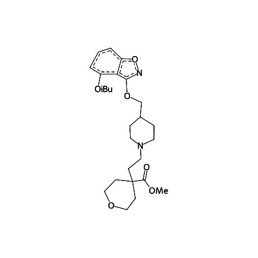 COC(=O)C1(CCN2CCC(COc3noc4cccc(OCC(C)C)c34)CC2)CCOCC1